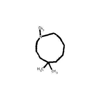 CN1CCCCCC(C)(C)CCC1